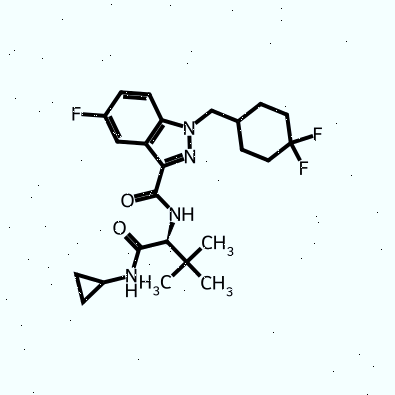 CC(C)(C)[C@H](NC(=O)c1nn(CC2CCC(F)(F)CC2)c2ccc(F)cc12)C(=O)NC1CC1